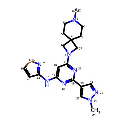 CC(=O)N1CCC2(CC1)CN(c1cc(Nc3ccsn3)nc(-c3cnn(C)c3)n1)C2